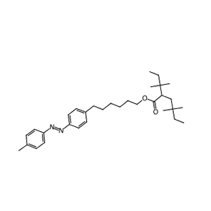 CCC(C)(C)CC(C(=O)OCCCCCCc1ccc(/N=N/c2ccc(C)cc2)cc1)C(C)(C)CC